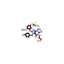 COc1ccc(OC(C)(F)F)cc1Oc1nc2c(c(=O)n(CCCO)c(=O)n2C)n1Cc1ccc(Cl)cc1